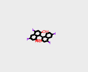 Oc1cc(I)c2cc(I)ccc2c1-c1c(O)cc(I)c2cc(I)cc(O)c12